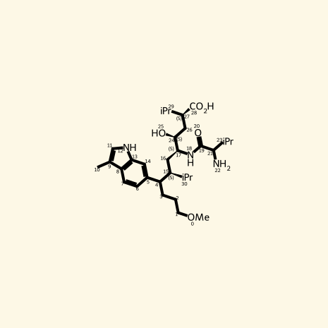 COCCCC(c1ccc2c(C)c[nH]c2c1)[C@@H](C[C@H](NC(=O)C(N)C(C)C)[C@@H](O)C[C@H](C(=O)O)C(C)C)C(C)C